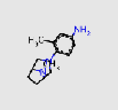 Cc1cc(N)ccc1N1CC2CCC(C1)N2C